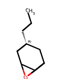 CCC[C@@H]1CCC2OC2C1